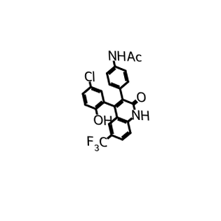 CC(=O)Nc1ccc(-c2c(-c3cc(Cl)ccc3O)c3cc(C(F)(F)F)ccc3[nH]c2=O)cc1